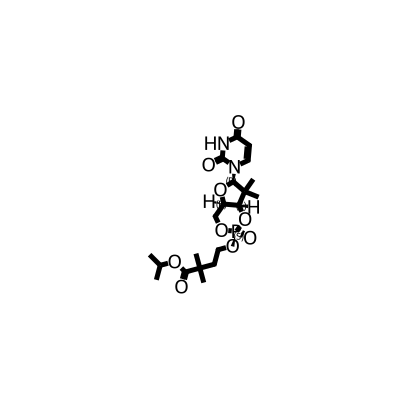 CC(C)OC(=O)C(C)(C)CCO[P@@]1(=O)OC[C@H]2O[C@@H](n3ccc(=O)[nH]c3=O)C(C)(C)[C@@H]2O1